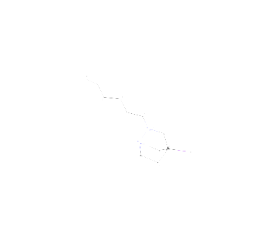 CCCCCCN1CC2(I)CCN1CC2